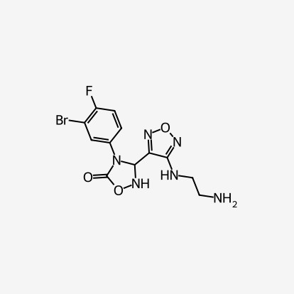 NCCNc1nonc1C1NOC(=O)N1c1ccc(F)c(Br)c1